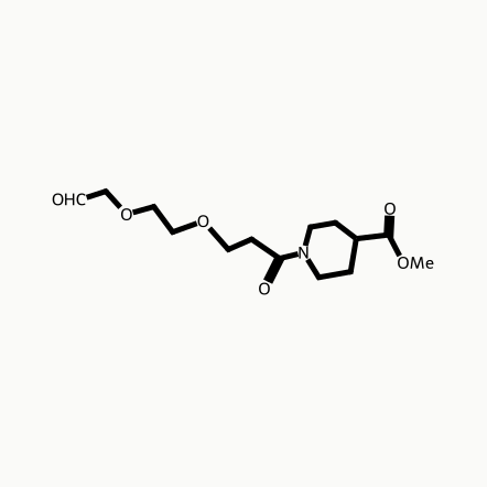 COC(=O)C1CCN(C(=O)CCOCCOCC=O)CC1